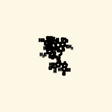 COc1cc2c(cc1O)CCN[C@]21CS[C@@H]2c3c(OC(=O)CCCC[C@@H]4SCC5NC(=O)NC54)c(C)c4c(c3[C@H](COC1=O)N1C2[C@H]2c3c(cc(C)c(OC)c3OC(=O)CCCCC3SCC5NC(=O)NC53)C[C@@H]([C@@H]1C#N)N2C)OCO4